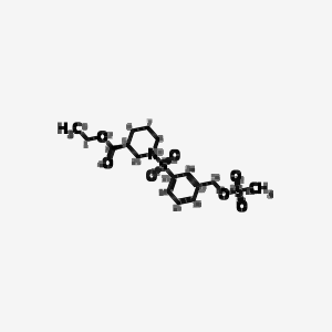 CCOC(=O)[C@H]1CCCN(S(=O)(=O)c2cccc(COS(C)(=O)=O)c2)C1